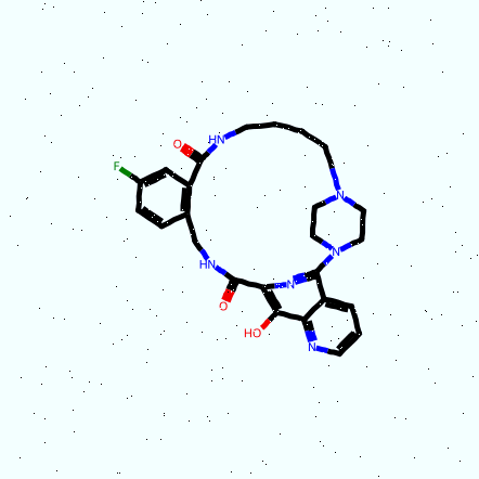 O=C1NCCCCN2CCN(CC2)c2nc(c(O)c3ncccc23)C(=O)NCc2ccc(F)cc21